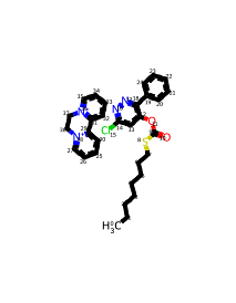 CCCCCCCCSC(=O)Oc1cc(Cl)nnc1-c1ccccc1.c1cc[n+]2c(c1)-c1cccc[n+]1CC2